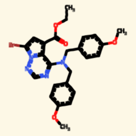 CCOC(=O)c1cc(Br)n2ncnc(N(Cc3ccc(OC)cc3)Cc3ccc(OC)cc3)c12